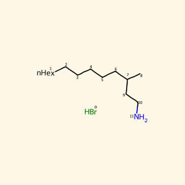 Br.CCCCCCCCCCCC(C)CCN